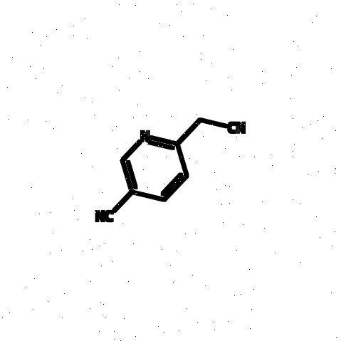 N#CCc1ccc(C#N)cn1